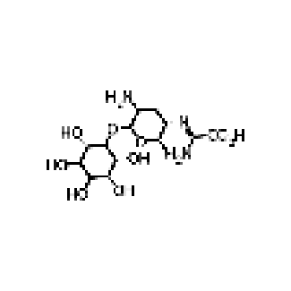 C[C@H]1O[C@H](OC2[C@@H](O)[C@H](O)C(O)[C@@H](O)[C@H]2O)[C@@H](N)C[C@@H]1N=C(N)C(=O)O